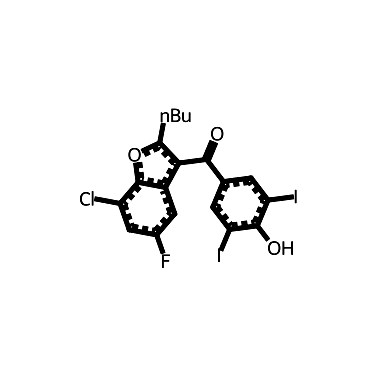 CCCCc1oc2c(Cl)cc(F)cc2c1C(=O)c1cc(I)c(O)c(I)c1